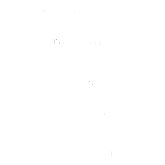 C#Cc1ccc2c3c(c(C(C)NC(=O)O)n(-c4ccccc4)c(=O)c13)CCC2